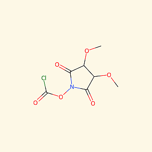 COC1C(=O)N(OC(=O)Cl)C(=O)C1OC